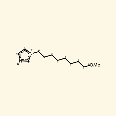 COCCCCCCCCn1ccnc1